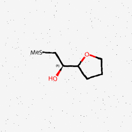 CSC[C@H](O)C1CCCO1